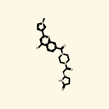 Cn1ccc(-c2cc(Cl)c3ccc(C(=O)N4CCN(C(=O)C[C@H]5CCC(=O)N5)CC4)cc3n2)c1